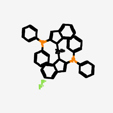 C1=C(P(c2ccccc2)c2ccccc2)[CH]([Zr+2][CH]2C(P(c3ccccc3)c3ccccc3)=Cc3ccccc32)c2ccccc21.[F-].[F-]